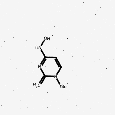 C=C1N=C(NO)C=CN1C(C)(C)C